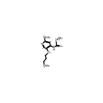 COCCCOc1cnc(NC(C)=O)cc1NC(=O)OC(C)(C)C